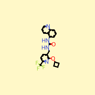 O=C(NCc1ccc(C(F)(F)F)nc1OC1CCC1)Nc1cccc2ncccc12